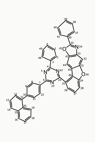 c1ccc(-c2nc(-c3ccc(-c4cccc5ccccc45)cc3)nc(-c3cccc4oc5cc6nc(-c7ccccc7)oc6cc5c34)n2)cc1